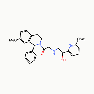 COc1ccc2c(c1)[C@H](c1ccccc1)N(C(=O)CNCC(O)c1cccc(OC)n1)CC2